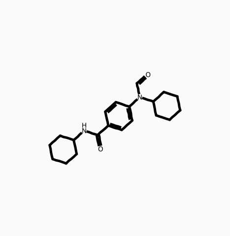 O=CN(c1ccc(C(=O)NC2CCCCC2)cc1)C1CCCCC1